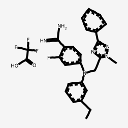 CCc1cccc(N(Cc2nc(-c3ccccc3)nn2C)c2ccc(C(=N)N)c(F)c2)c1.O=C(O)C(F)(F)F